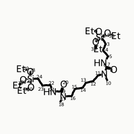 CCO[Si](CCCNC(=O)N(C)CCCCCCN(C)C(=O)NCCC[Si](OCC)(OCC)OCC)(OCC)OCC